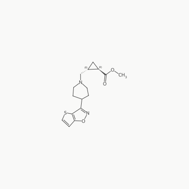 COC(=O)[C@@H]1C[C@H]1CN1CCC(c2noc3ccsc23)CC1